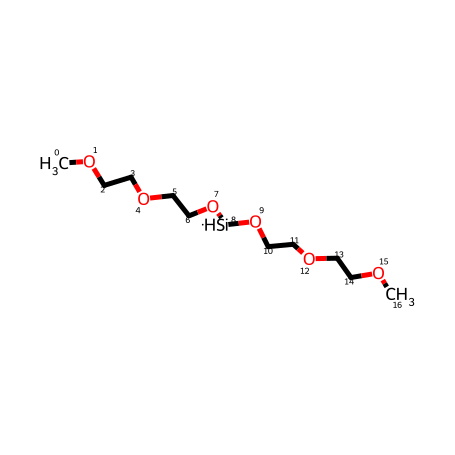 COCCOCCO[SiH]OCCOCCOC